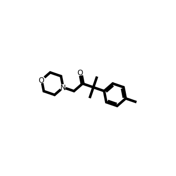 Cc1ccc(C(C)(C)C(=O)CN2CCOCC2)cc1